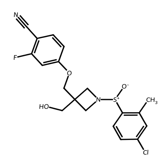 Cc1cc(Cl)ccc1[S+]([O-])N1CC(CO)(COc2ccc(C#N)c(F)c2)C1